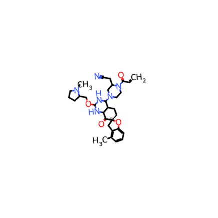 C=CC(=O)N1CCN(C2NC(OCC3CCCN3C)NC3C(=O)[C@@]4(CCC32)Cc2c(C)cccc2O4)CC1CC#N